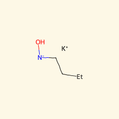 CCCC[N-]O.[K+]